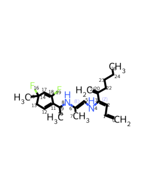 C=C/C=C(\N/C=C(\C)NC(C)C1=CCC(C)(F)C=C1F)C(=C)CCCC